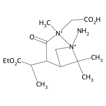 CCOC(=O)C(C)C1C(=O)[N+](C)(CC(=O)O)[N+]2(N)CC1C2(C)C